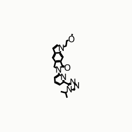 COCCn1ccc2cc3c(cc21)C(=O)N(c1cccc(-c2nncn2C(C)C)n1)C3